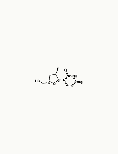 O=c1[nH]c(=S)ccn1[C@@H]1O[C@H](CO)CC1F